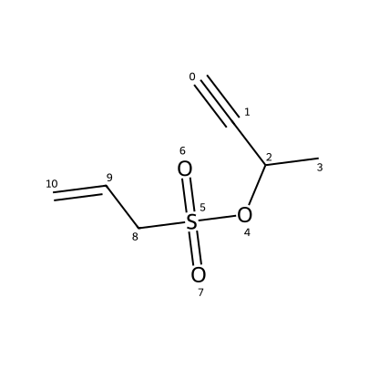 C#CC(C)OS(=O)(=O)CC=C